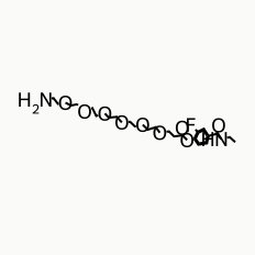 CCNC(=O)c1ccc(OC(=O)CCOCCOCCOCCOCCOCCOCCN)c(F)c1